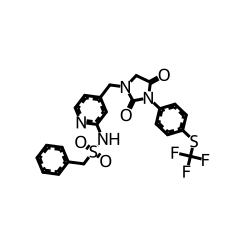 O=C1CN(Cc2ccnc(NS(=O)(=O)Cc3ccccc3)c2)C(=O)N1c1ccc(SC(F)(F)F)cc1